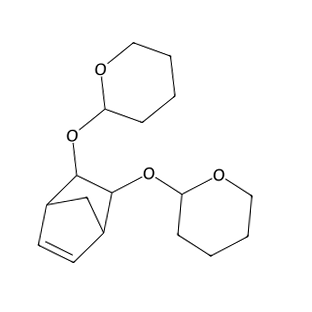 C1=CC2CC1C(OC1CCCCO1)C2OC1CCCCO1